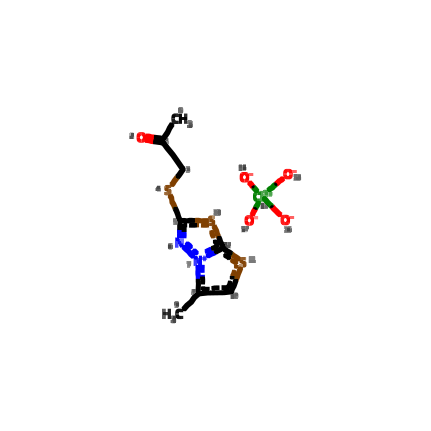 CC(=O)CSc1n[n+]2c(C)csc2s1.[O-][Cl+3]([O-])([O-])[O-]